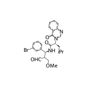 COCC(C=O)[C@H](NC(=O)[C@H](CC(C)C)n1cnc2ccccc2c1=O)c1cccc(Br)c1